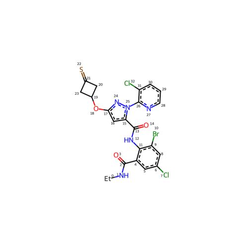 CCNC(=O)c1cc(Cl)cc(Br)c1NC(=O)c1cc(OC2CC(=S)C2)nn1-c1ncccc1Cl